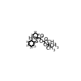 CC(C)(C)OC(=O)OC(=O)[C@]1(Sc2ccccc2)CCCN1